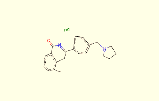 Cc1cccc2c1CC(c1ccc(CN3CCCC3)cc1)=NC2=O.Cl